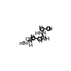 CCCCC(O)Nc1cncc(-c2cnc3[nH]nc(-c4nc5c(-c6ccncc6)cncc5[nH]4)c3c2)c1